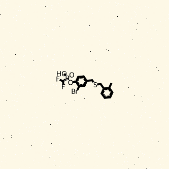 Cc1ccccc1CSCc1ccc(OP(=O)(O)C(F)F)c(Br)c1